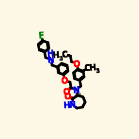 CCCOc1ccc(CN(C(=O)COc2cccc(CNCc3ccc(F)cc3)c2)[C@H]2CCCCNC2=O)cc1C